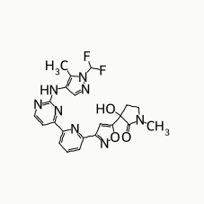 Cc1c(Nc2nccc(-c3cccc(-c4cc(C5(O)CCN(C)C5=O)on4)n3)n2)cnn1C(F)F